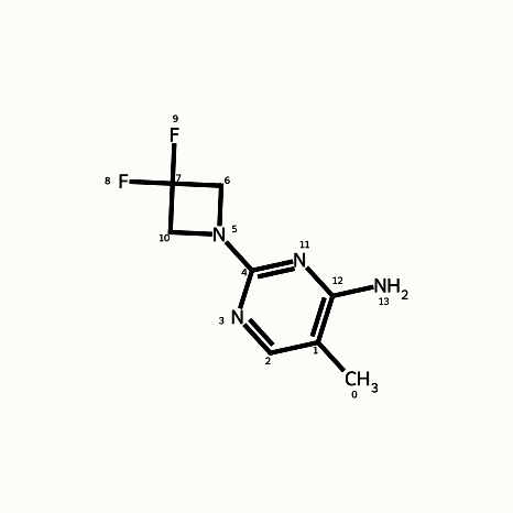 Cc1cnc(N2CC(F)(F)C2)nc1N